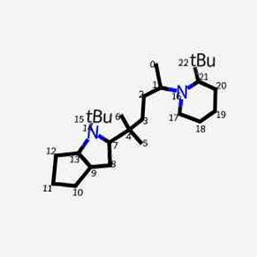 CC(CCC(C)(C)C1CC2CCCC2N1C(C)(C)C)N1CCCCC1C(C)(C)C